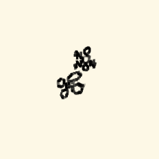 O=C1C=C(N2CC2)C(=O)C(N2CC2)=C1N1CC1.c1ccc([B-](c2ccccc2)(c2ccccc2)c2ccccc2)cc1